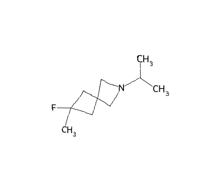 CC(C)N1CC2(C1)CC(C)(F)C2